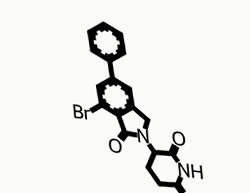 O=C1CCC(N2Cc3cc(-c4ccccc4)cc(Br)c3C2=O)C(=O)N1